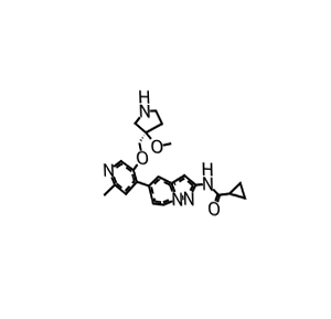 CO[C@]1(COc2cnc(C)cc2-c2ccn3nc(NC(=O)C4CC4)cc3c2)CCNC1